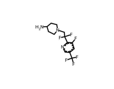 NC1CCN(CC(F)(F)c2ncc(C(F)(F)F)cc2F)CC1